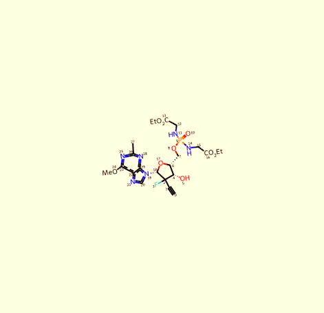 C#CC1(F)[C@@H](O)[C@@H](COP(=O)(NCC(=O)OCC)NCC(=O)OCC)O[C@H]1n1cnc2c(OC)nc(C)nc21